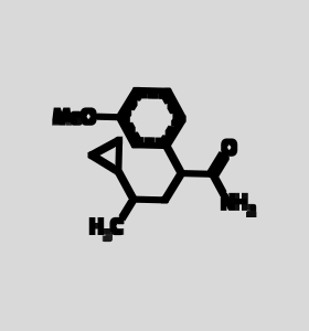 COc1cccc(C(CC(C)C2CC2)C(N)=O)c1